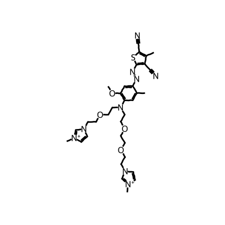 COc1cc(/N=N/c2sc(C#N)c(C)c2C#N)c(C)cc1N(CCOCCOCCn1cc[n+](C)c1)CCOCCn1cc[n+](C)c1